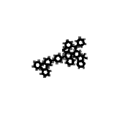 CC1(C)c2ccccc2-c2ccc(N(c3ccccc3)c3cccc4oc5c(-c6ccc(-c7ccc8c9ccccc9c9ccccc9c8c7)cc6)c6ccccc6cc5c34)cc21